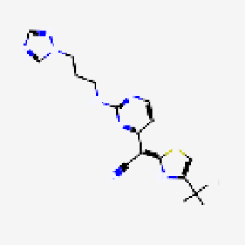 CC(C)(C)C1=CSC(=C(C#N)c2ccnc(NCCCn3cncn3)n2)N1